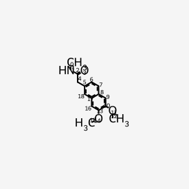 CNC(=O)Cc1ccc2cc(OC)c(OC)cc2c1